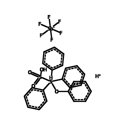 O=S(=O)(O)[SH](Oc1ccccc1)(c1ccccc1)(c1ccccc1)c1ccccc1.[F][Sb-]([F])([F])([F])([F])[F].[H+]